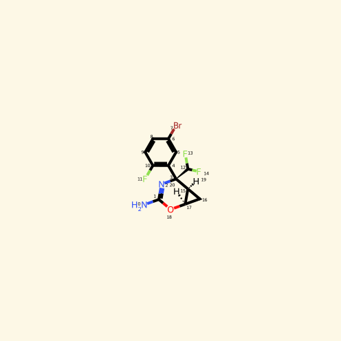 NC1=N[C@@](c2cc(Br)ccc2F)(C(F)F)[C@H]2C[C@H]2O1